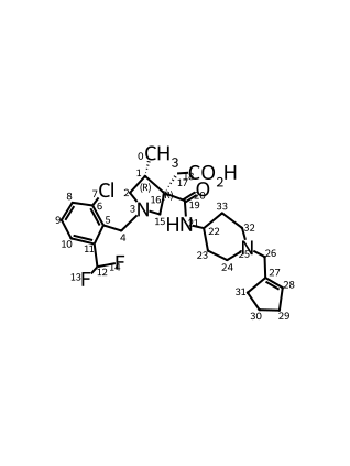 C[C@H]1CN(Cc2c(Cl)cccc2C(F)F)C[C@]1(CC(=O)O)C(=O)NC1CCN(CC2=CCCC2)CC1